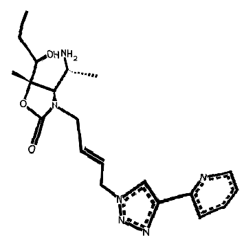 CCC(O)[C@@]1(C)OC(=O)N(C/C=C/Cn2cc(-c3ccccn3)nn2)[C@@H]1[C@@H](C)N